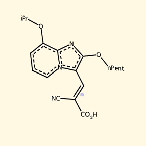 CCCCCOc1nc2c(OC(C)C)cccn2c1/C=C(\C#N)C(=O)O